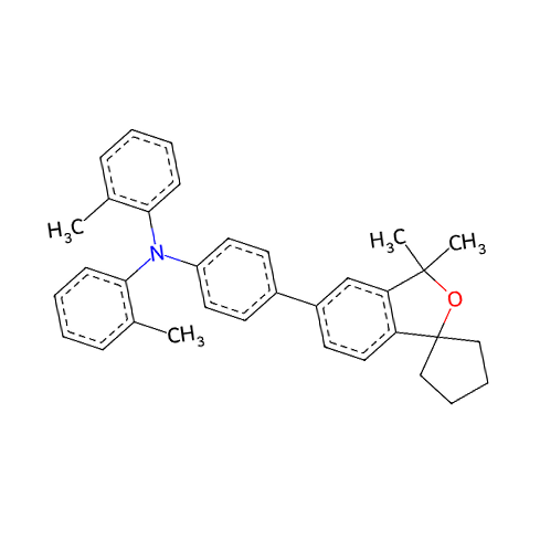 Cc1ccccc1N(c1ccc(-c2ccc3c(c2)C(C)(C)OC32CCCC2)cc1)c1ccccc1C